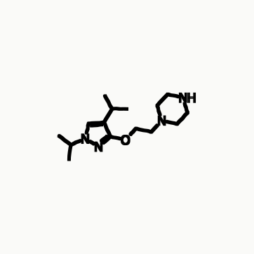 CC(C)c1cn(C(C)C)nc1OCCN1CCNCC1